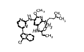 C=CC(=O)Nc1cc(Nc2nccc(-c3cc(Cl)c4ccccn34)n2)c(OC)nc1N(C)CCN(C)C